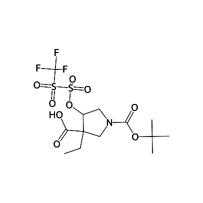 CCC1(C(=O)O)CN(C(=O)OC(C)(C)C)CC1OS(=O)(=O)S(=O)(=O)C(F)(F)F